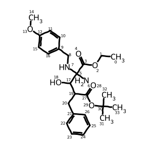 CCOC(=O)C(N)(NCc1ccc(OC)cc1)C(O)C(Cc1ccccc1)C(=O)OC(C)(C)C